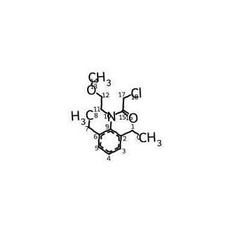 CCc1cccc(CC)c1N(CCOC)C(=O)CCl